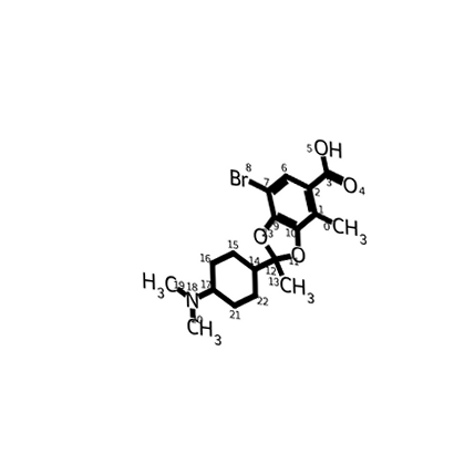 Cc1c(C(=O)O)cc(Br)c2c1OC(C)(C1CCC(N(C)C)CC1)O2